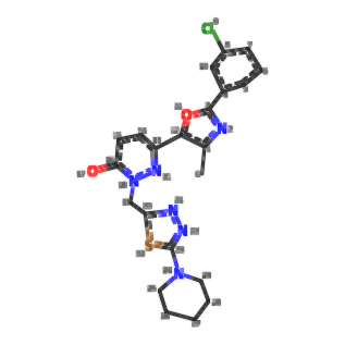 Cc1nc(-c2cccc(Cl)c2)oc1-c1ccc(=O)n(Cc2nnc(N3CCCCC3)s2)n1